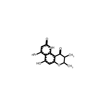 CCCc1cc(=O)[nH]c2c3c(cc(O)c12)OC(C)C(C)C3=O